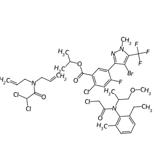 C=CCN(CC=C)C(=O)C(Cl)Cl.CC(C)OC(=O)c1cc(-c2nn(C)c(C(F)(F)F)c2Br)c(F)cc1Cl.CCc1cccc(C)c1N(C(=O)CCl)C(C)COC